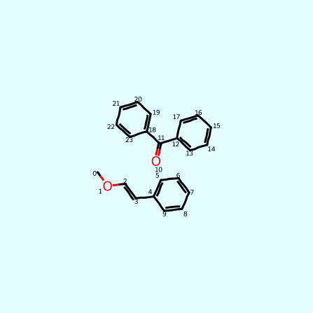 COC=Cc1ccccc1.O=C(c1ccccc1)c1ccccc1